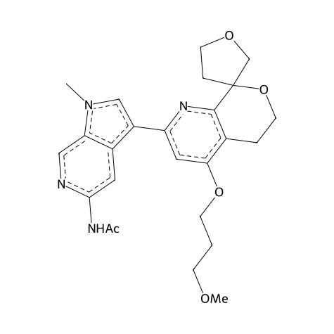 COCCCOc1cc(-c2cn(C)c3cnc(NC(C)=O)cc23)nc2c1CCOC21CCOC1